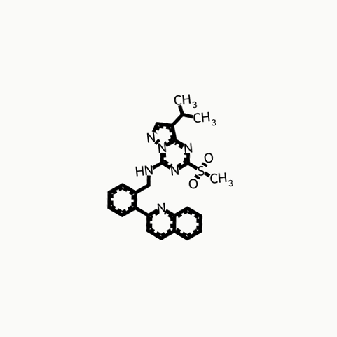 CC(C)c1cnn2c(NCc3ccccc3-c3ccc4ccccc4n3)nc(S(C)(=O)=O)nc12